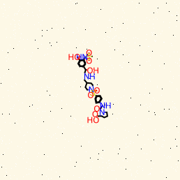 CS(=O)(=O)Nc1cc(C(O)CNCC2CCN(S(=O)(=O)c3ccc(NC(=O)N4CCCC4C(=O)O)cc3)CC2)ccc1O